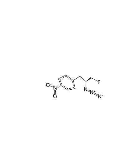 [N-]=[N+]=N[C@H](CF)Cc1ccc([N+](=O)[O-])cc1